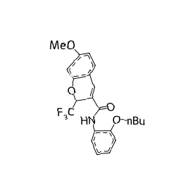 CCCCOc1ccccc1NC(=O)C1=Cc2ccc(OC)cc2OC1C(F)(F)F